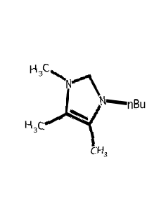 CCCCN1CN(C)C(C)=C1C